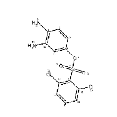 Nc1ccc(OS(=O)(=O)c2c(Cl)cccc2Cl)cc1N